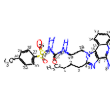 CCCCc1nc2c(N)nc3ccccc3c2n1CCNC(=O)NS(=O)(=O)c1ccc(C)cc1